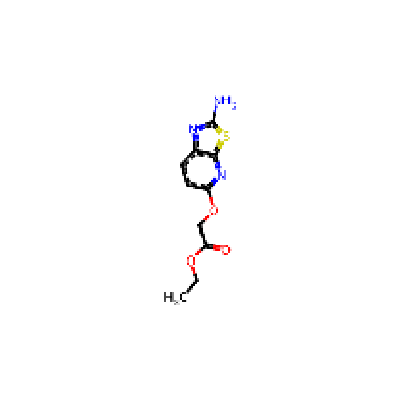 CCOC(=O)COc1ccc2nc(N)sc2n1